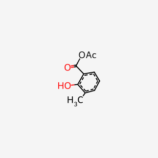 CC(=O)OC(=O)c1cccc(C)c1O